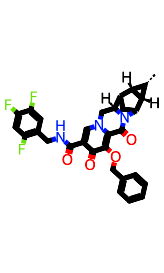 C[C@H]1[C@H]2C3CC([C@@H]12)N1C(=O)c2c(OCc4ccccc4)c(=O)c(C(=O)NCc4cc(F)c(F)cc4F)cn2C[C@@H]31